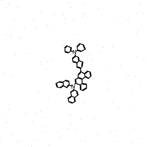 c1ccc(N(c2ccccc2)c2ccc3cc(-c4cc5cc(N(c6ccc7ccccc7c6)c6ccc7ccccc7c6)c6ccccc6c5c5ccccc45)ccc3c2)cc1